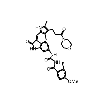 COc1ccc(C(=O)NC(=O)Nc2ccc3c(c2)NC(=O)C3=Cc2[nH]c(C)c(CCC(=O)N3CCOCC3)c2C)c(F)c1